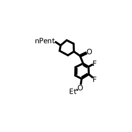 CCCCCC1CCC(C(=O)c2ccc(OCC)c(F)c2F)CC1